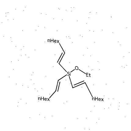 CCCCCCC=C[Si](C=CCCCCCC)(C=CCCCCCC)OCC